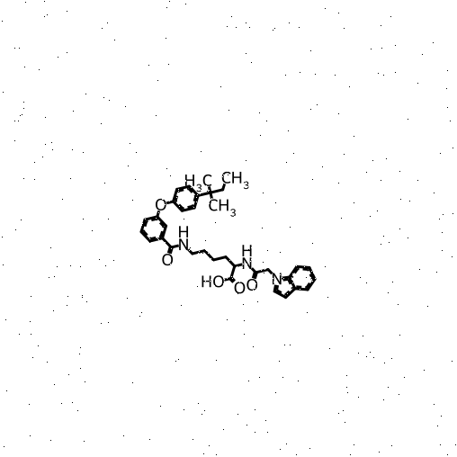 CCC(C)(C)c1ccc(Oc2cccc(C(=O)NCCCCC(NC(=O)Cn3ccc4ccccc43)C(=O)O)c2)cc1